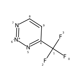 FC(F)(F)C1=N[N+]=NC=C1